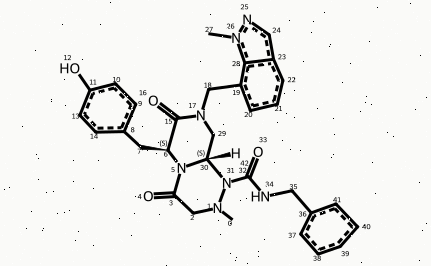 CN1CC(=O)N2[C@@H](Cc3ccc(O)cc3)C(=O)N(Cc3cccc4cnn(C)c34)C[C@@H]2N1C(=O)NCc1ccccc1